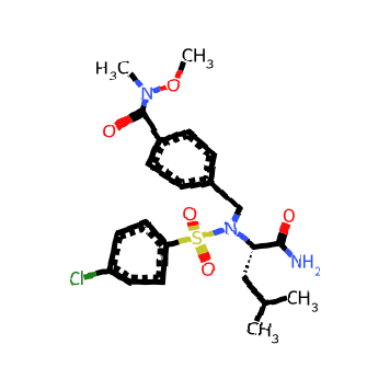 CON(C)C(=O)c1ccc(CN([C@@H](CC(C)C)C(N)=O)S(=O)(=O)c2ccc(Cl)cc2)cc1